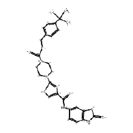 CC(C)(C)c1ccc(COC(=O)N2CCN(c3nc(C(=O)Nc4ccc5[nH]c(=O)oc5c4)cs3)CC2)cc1